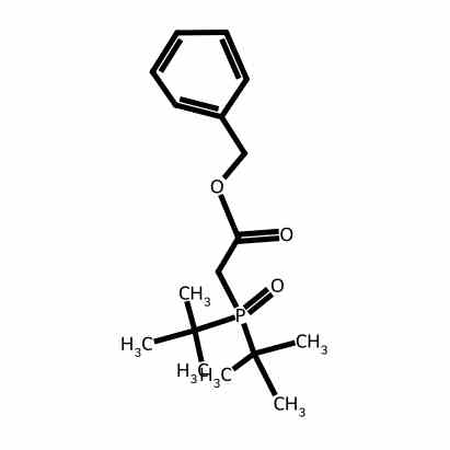 CC(C)(C)P(=O)(CC(=O)OCc1ccccc1)C(C)(C)C